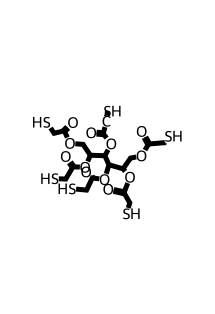 O=C(CS)OCC(OC(=O)CS)C(OC(=O)CS)C(OC(=O)CS)C(COC(=O)CS)OC(=O)CS